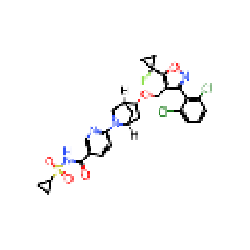 O=C(NS(=O)(=O)C1CC1)c1ccc(N2C[C@@H]3C[C@H]2C[C@H]3OCc2c(-c3c(Cl)cccc3Cl)noc2C2(F)CC2)nc1